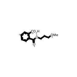 COCCCOC(=O)c1ccccc1C(=O)O